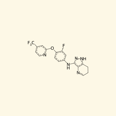 Fc1cc(Nc2n[nH]c3c2N=CCC3)ccc1Oc1cc(C(F)(F)F)ccn1